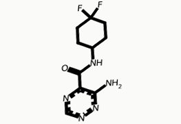 Nc1nncnc1C(=O)NC1CCC(F)(F)CC1